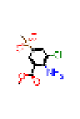 COC(=O)c1cc(S(C)(=O)=O)cc(Cl)c1N